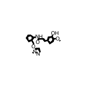 COc1ccc(/C=C/C(=O)Nc2ccccc2COc2ccnn2C)cc1O